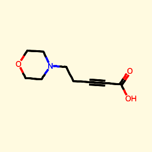 O=C(O)C#CCCN1CCOCC1